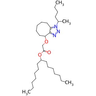 CCCCCCCC(CCCCCCC)OC(=O)COC1CCCCCc2c1nnn2C(C)CCCC